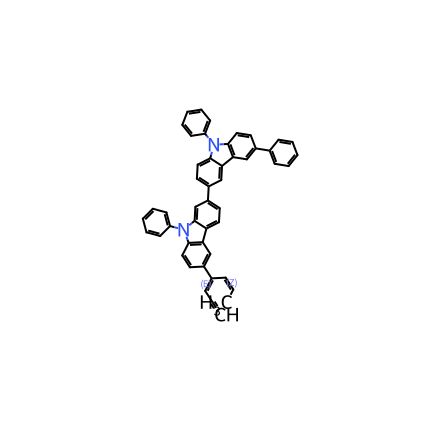 C#C/C=C(\C=C/C)c1ccc2c(c1)c1ccc(-c3ccc4c(c3)c3cc(-c5ccccc5)ccc3n4-c3ccccc3)cc1n2-c1ccccc1